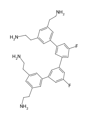 NCCc1cc(CCN)cc(-c2cc(F)cc(-c3cc(F)cc(-c4cc(CCN)cc(CCN)c4)c3)c2)c1